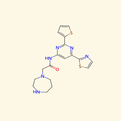 O=C(CN1CCCNCC1)Nc1cc(-c2nccs2)nc(-c2cccs2)n1